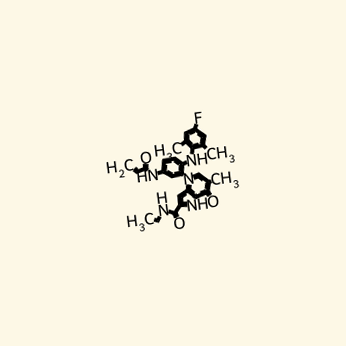 C=CC(=O)Nc1ccc(Nc2c(C)cc(F)cc2C)c(-n2cc(C)c(=O)c3[nH]c(C(=O)NCC)cc32)c1